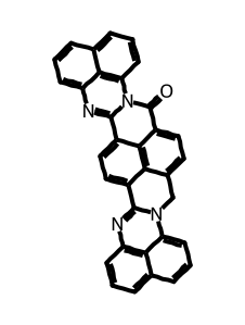 O=c1c2ccc3c4c(ccc(c42)c2nc4cccc5cccc(c54)n12)C1=Nc2cccc4cccc(c24)N1C3